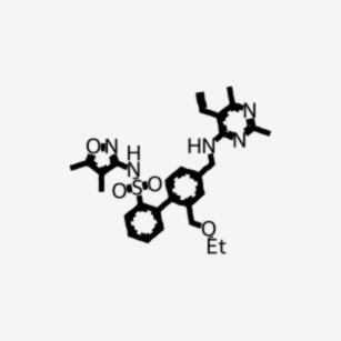 C=Cc1c(C)nc(C)nc1NCc1ccc(-c2ccccc2S(=O)(=O)Nc2noc(C)c2C)c(COCC)c1